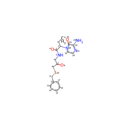 CCC(C(=O)NCC(=O)CSCc1ccccc1)n1ccnc(N)c1=O